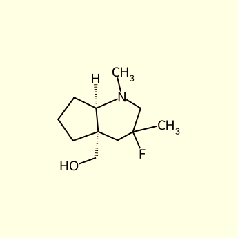 CN1CC(C)(F)C[C@@]2(CO)CCC[C@@H]12